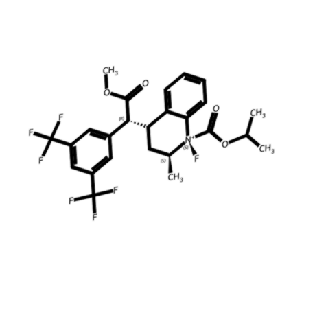 COC(=O)[C@@H](c1cc(C(F)(F)F)cc(C(F)(F)F)c1)C1C[C@H](C)[N@@+](F)(C(=O)OC(C)C)c2ccccc21